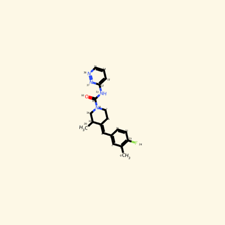 Cc1cc(C=C2CCN(C(=O)Nc3cccnn3)CC2C)ccc1F